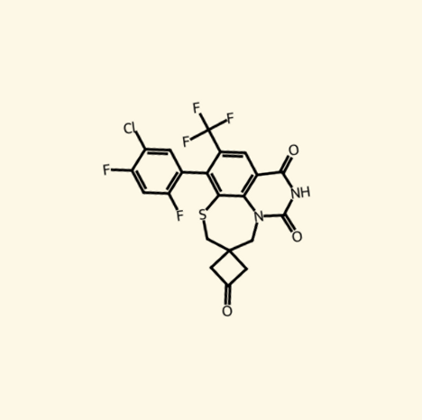 O=C1CC2(CSc3c(-c4cc(Cl)c(F)cc4F)c(C(F)(F)F)cc4c(=O)[nH]c(=O)n(c34)C2)C1